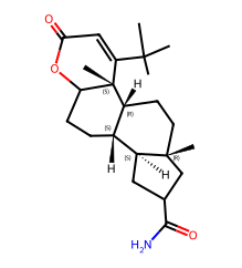 CC(C)(C)C1=CC(=O)OC2CC[C@@H]3[C@@H](CC[C@]4(C)CC(C(N)=O)C[C@@H]34)[C@@]12C